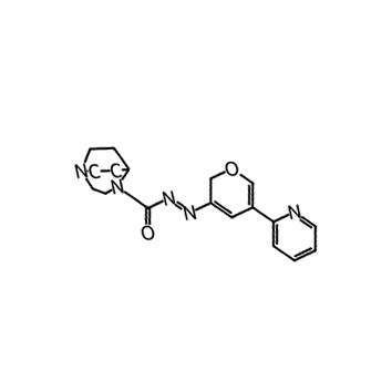 O=C(N=NC1=CC(c2ccccn2)=COC1)N1CCN2CCC1CC2